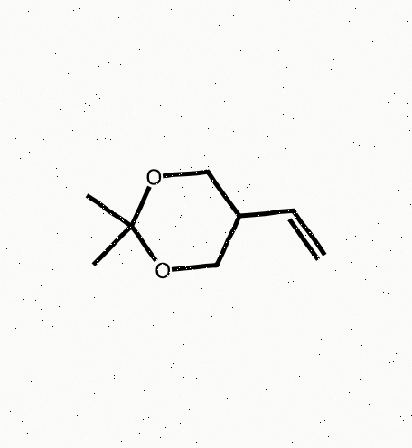 C=CC1COC(C)(C)OC1